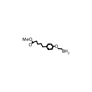 BCCOc1ccc(CCCCC(=O)OC)cc1